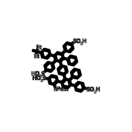 CCCCCc1cc(S(=O)(=O)O)ccc1-c1ccc(-c2ccc(S(=O)(=O)O)cc2)c(-c2ccccc2)c1-c1ccc(-c2c(-c3ccccc3)c(-c3ccc(S(=O)(=O)O)cc3)cc(-c3ccc(C(C)(CC)CC)cc3)c2-c2ccc(S(=O)(=O)O)cc2)cc1